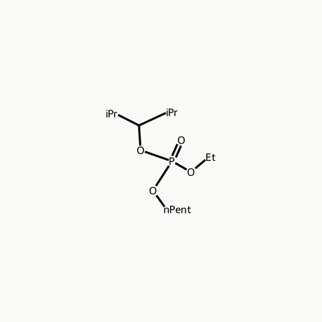 CCCCCOP(=O)(OCC)OC(C(C)C)C(C)C